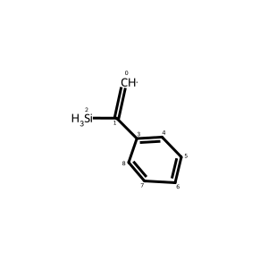 [CH]=C([SiH3])c1ccccc1